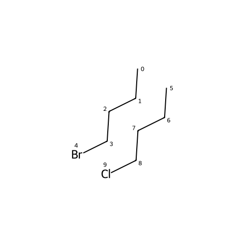 CCCCBr.CCCCCl